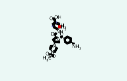 C=C(/C=C\C(=C/C)C(=O)O)NC(=O)[C@@H]1C[C@H](N2CCN(S(C)(=O)=O)CC2)CN1C(=O)[C@H]1CC[C@H](CN)CC1